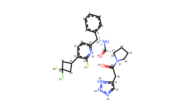 O=C(N[C@@H](c1ccccc1)c1ccc(C2CC(F)(F)C2)c(F)n1)[C@@H]1CCCN1C(=O)Cc1cnn[nH]1